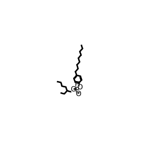 CCCCCCCCCc1ccc(O[PH](=O)OCC(CC)CCCC)cc1